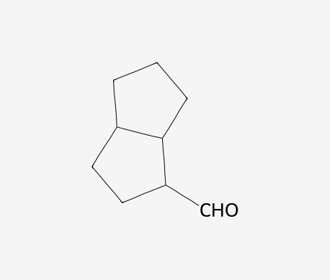 O=CC1CCC2CCCC12